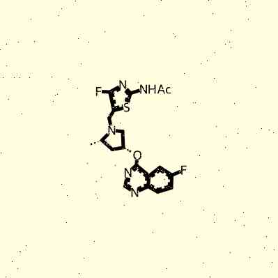 CC(=O)Nc1nc(F)c(CN2C[C@H](Oc3ncnc4ccc(F)cc34)C[C@@H]2C)s1